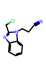 N#CCCn1c(CCl)nc2ccccc21